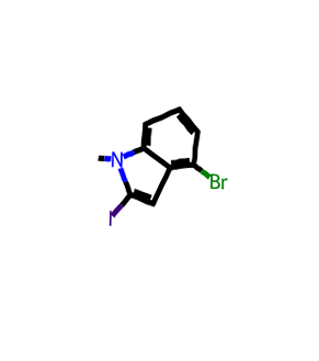 Cn1c(I)cc2c(Br)cccc21